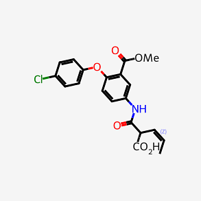 C/C=C\C(C(=O)O)C(=O)Nc1ccc(Oc2ccc(Cl)cc2)c(C(=O)OC)c1